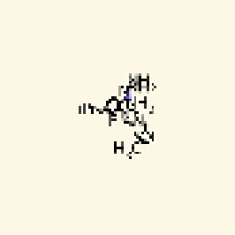 Cc1cnc(CN2CCN(c3c(/C(N)=N/NN)ccc(CC(C)C)c3F)CC2)s1